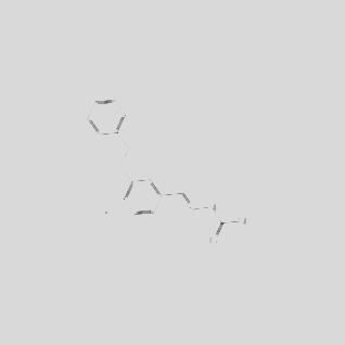 Cl.N=C(N)N/N=C/c1cccc(OCc2ccccc2)c1